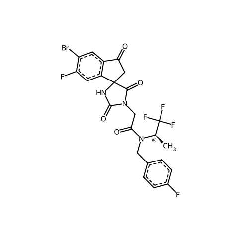 C[C@@H](N(Cc1ccc(F)cc1)C(=O)CN1C(=O)NC2(CC(=O)c3cc(Br)c(F)cc32)C1=O)C(F)(F)F